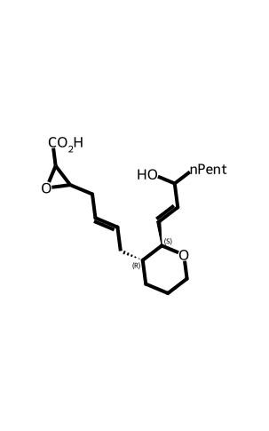 CCCCCC(O)C=C[C@H]1OCCC[C@@H]1CC=CCC1OC1C(=O)O